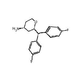 N[C@H]1CCOC(C(c2ccc(F)cc2)c2ccc(F)cc2)C1